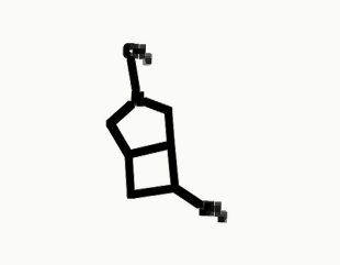 BC1CC2CN(C)CC12